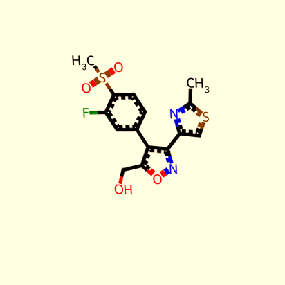 Cc1nc(-c2noc(CO)c2-c2ccc(S(C)(=O)=O)c(F)c2)cs1